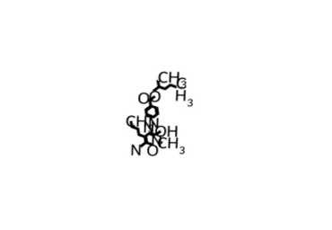 CCCCc1c(/N=N/c2ccc(C(=O)OCC(CC)CCCC)cc2)c(O)n(C)c(=O)c1C#N